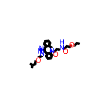 CCCOCCC(=O)NCCC(=O)N1Cc2ccccc2-c2nnn(CCOCCC(C)C)c2-c2ccccc21